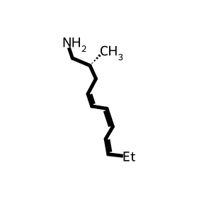 CC\C=C/C=C\C=C/C[C@@H](C)CN